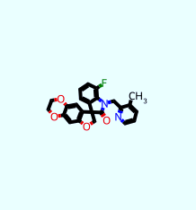 Cc1cccnc1CN1C(=O)C2(COc3cc4c(cc32)OCCO4)c2cccc(F)c21